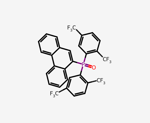 O=P(c1cc(C(F)(F)F)ccc1C(F)(F)F)(c1cc(C(F)(F)F)ccc1C(F)(F)F)c1cc2ccccc2c2ccccc12